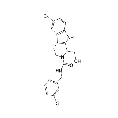 O=C(NCc1cccc(Cl)c1)N1CCc2c([nH]c3ccc(Cl)cc23)C1CO